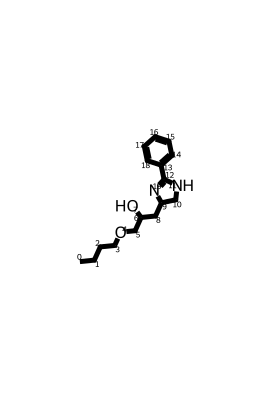 CCCCOCC(O)CC1CNC(c2ccccc2)=N1